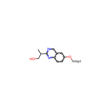 CCCCCCCOc1ccc2nc(C(C)CO)ncc2c1